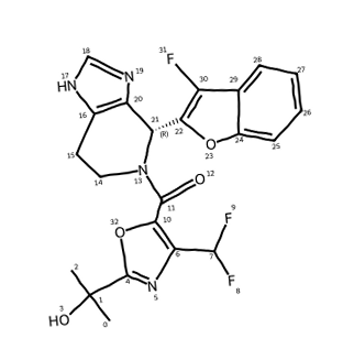 CC(C)(O)c1nc(C(F)F)c(C(=O)N2CCc3[nH]cnc3[C@@H]2c2oc3ccccc3c2F)o1